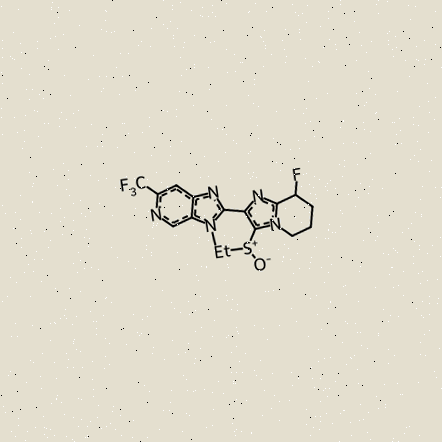 CC[S+]([O-])c1c(-c2nc3cc(C(F)(F)F)ncc3n2C)nc2n1CCCC2F